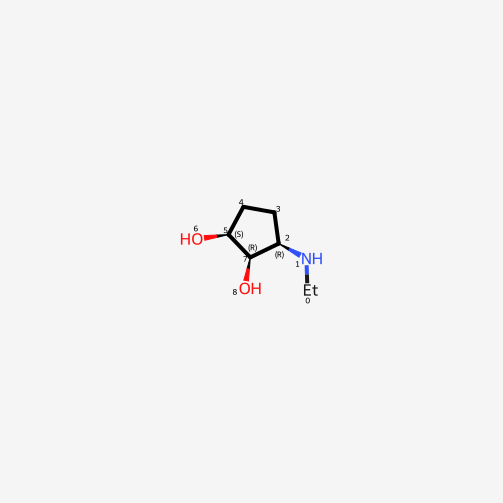 CCN[C@@H]1CC[C@H](O)[C@@H]1O